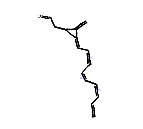 C=C\C=C/C=C\C=C/C=C1\C(=C)C1CC=O